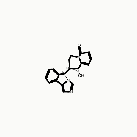 O=c1cccc2n1CC[C@H]([C@H]1c3ccccc3-c3cncn31)[C@H]2O